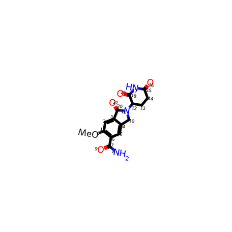 COc1cc2c(cc1C(N)=O)CN(C1CCC(=O)NC1=O)C2=O